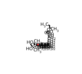 C=C.C=C.C=C.C=C.C=C.C=C.C=C.C=C.C=C.C=C.CCC(C)OS(=O)(=O)O.CCOCC.OCCO